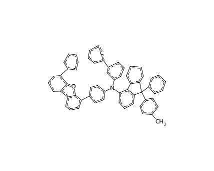 Cc1ccc(C2(c3ccccc3)c3ccccc3-c3c(N(c4ccc(-c5cccc6c5oc5c(-c7ccccc7)cccc56)cc4)c4cccc(-c5ccccc5)c4)cccc32)cc1